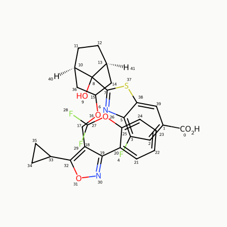 O=C(O)c1cc(F)c2nc(C3(O)[C@@H]4CC[C@H]3CC(OCc3c(-c5ccccc5OC(F)F)noc3C3CC3)C4)sc2c1